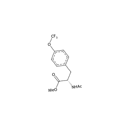 COC(=O)[C@H](Cc1ccc(OC(F)(F)F)cc1)NC(C)=O